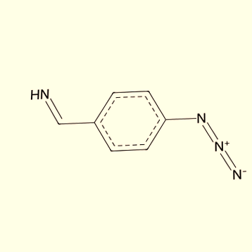 [N-]=[N+]=Nc1ccc(C=N)cc1